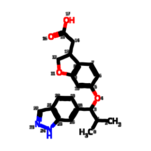 CC(C)C(Oc1ccc2c(c1)OCC2CC(=O)O)c1ccc2cn[nH]c2c1